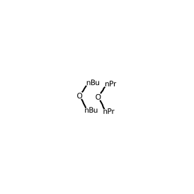 CCCCOCCCC.CCCOCCC